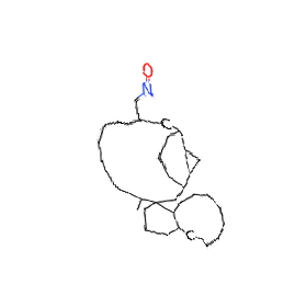 CC1CCCCCC(CN=O)CC2CCCC(CC13CCCC1CCCCCCCCC13)C1CC21